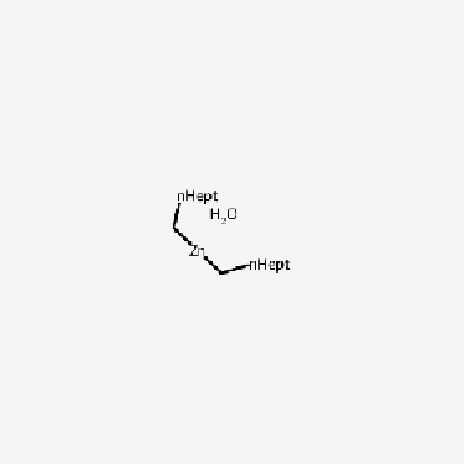 CCCCCCC[CH2][Zn][CH2]CCCCCCC.O